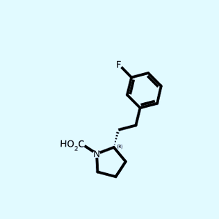 O=C(O)N1CCC[C@H]1CCc1cccc(F)c1